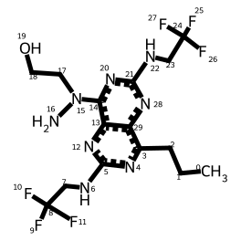 CCCc1nc(NCC(F)(F)F)nc2c(N(N)CCO)nc(NCC(F)(F)F)nc12